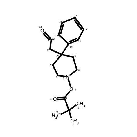 CC(C)(C)C(=O)ON1CCC(CC=O)(c2ccccc2)CC1